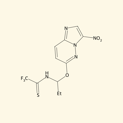 CCC(NC(=S)C(F)(F)F)Oc1ccc2ncc([N+](=O)[O-])n2n1